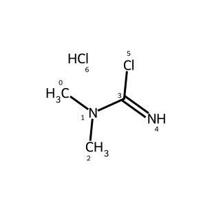 CN(C)C(=N)Cl.Cl